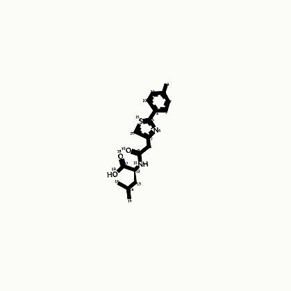 Cc1ccc(-c2nc(CC(=O)N[C@@H](CC(C)C)C(=O)O)cs2)cc1